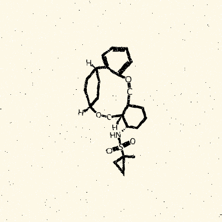 CC1(S(=O)(=O)N[C@H]2CCCC3COc4ccccc4[C@H]4CC[C@H](CC4)OC[C@H]32)CC1